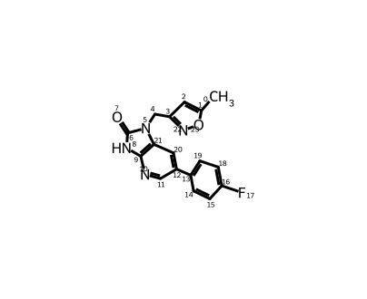 Cc1cc(Cn2c(=O)[nH]c3ncc(-c4ccc(F)cc4)cc32)no1